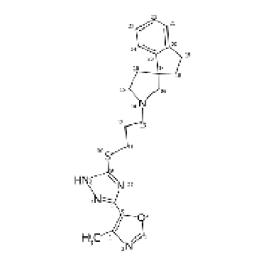 Cc1ncoc1-c1n[nH]c(SCCCN2CCC3(CCc4ccccc43)C2)n1